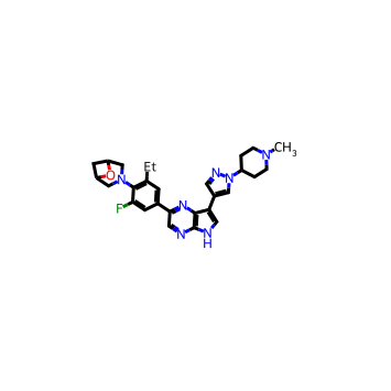 CCc1cc(-c2cnc3[nH]cc(-c4cnn(C5CCN(C)CC5)c4)c3n2)cc(F)c1N1CC2CC(C1)O2